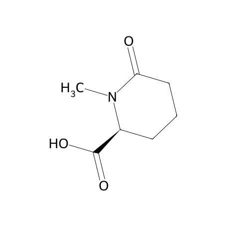 CN1C(=O)CCC[C@H]1C(=O)O